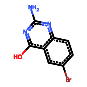 Nc1nc(O)c2cc(Br)ccc2n1